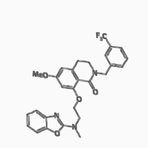 COc1cc2c(c(OCCN(C)c3nc4ccccc4o3)c1)C(=O)N(Cc1cccc(C(F)(F)F)c1)CC2